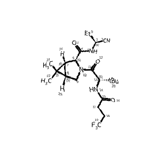 CC[C@@H](C#N)NC(=O)[C@@H]1[C@@H]2[C@H](CN1C(=O)[C@@H](NC(=O)CCC(F)(F)F)C(C)(C)C)C2(C)C